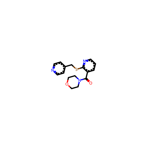 O=C(c1cccnc1SCc1ccncc1)N1CCOCC1